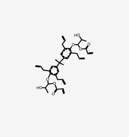 C=CCc1cc(C(C)(C)c2cc(CC=C)c(OC(OC(=O)C=C)C(C)O)c(CC=C)c2)cc(CC=C)c1OC(OC(=O)C=C)C(C)O